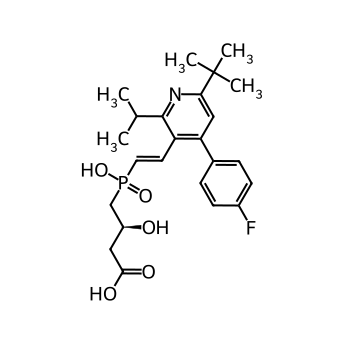 CC(C)c1nc(C(C)(C)C)cc(-c2ccc(F)cc2)c1/C=C/P(=O)(O)C[C@@H](O)CC(=O)O